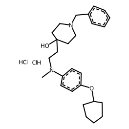 CN(CCC1(O)CCN(Cc2ccccc2)CC1)c1ccc(OC2CCCCC2)cc1.Cl.Cl